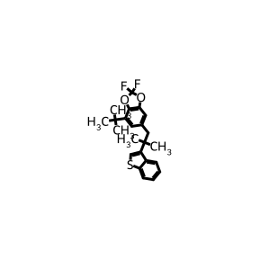 CC(C)(C)c1cc(CC(C)(C)c2csc3ccccc23)cc2c1OC(F)(F)O2